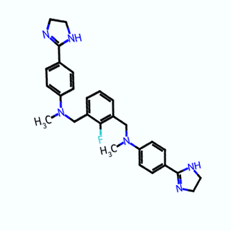 CN(Cc1cccc(CN(C)c2ccc(C3=NCCN3)cc2)c1F)c1ccc(C2=NCCN2)cc1